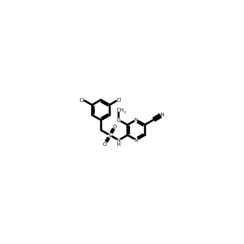 COc1nc(C#N)cnc1NS(=O)(=O)Cc1cc(Cl)cc(Cl)c1